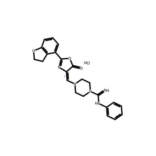 Cl.N=C(Nc1ccccc1)N1CCN(/C=C2/N=C(c3cccc4c3CCO4)OC2=O)CC1